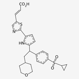 O=C(O)C=Cc1cnc(-c2ccc(C(CC3CCOCC3)c3ccc(S(=O)(=O)C4CC4)cc3)[nH]2)s1